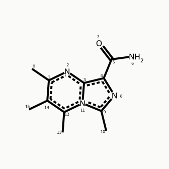 Cc1nc2c(C(N)=O)nc(C)n2c(C)c1C